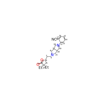 CCC1(CC)CC(CCN2CC3CN(c4ccccc4C#N)CC3C2)OC1=O